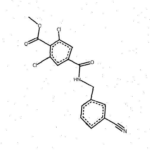 COC(=O)c1c(Cl)cc(C(=O)NCc2cccc(C#N)c2)cc1Cl